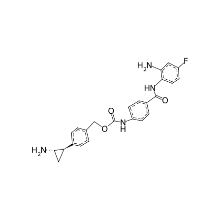 Nc1cc(F)ccc1NC(=O)c1ccc(NC(=O)OCc2ccc([C@H]3C[C@@H]3N)cc2)cc1